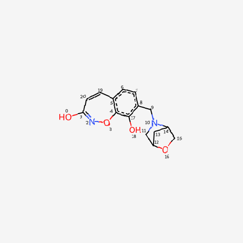 OC1=NOc2c(ccc(CN3CC4CC3CO4)c2O)C=C1